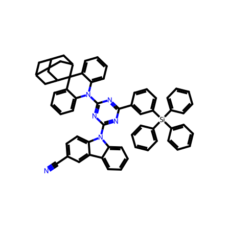 N#Cc1ccc2c(c1)c1ccccc1n2-c1nc(-c2cccc([Si](c3ccccc3)(c3ccccc3)c3ccccc3)c2)nc(N2c3ccccc3C3(c4ccccc42)C2CC4CC(C2)CC3C4)n1